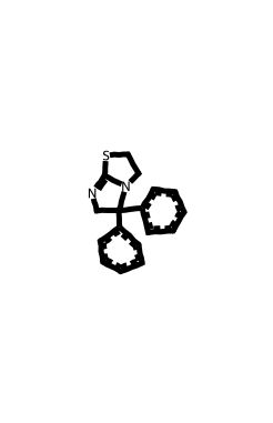 c1ccc(C2(c3ccccc3)CN=C3SCCN32)cc1